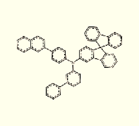 c1ccc(-c2cccc(N(c3ccc(-c4ccc5ccccc5c4)cc3)c3ccc4c(c3)-c3ccccc3C43c4ccccc4-c4ccccc43)c2)cc1